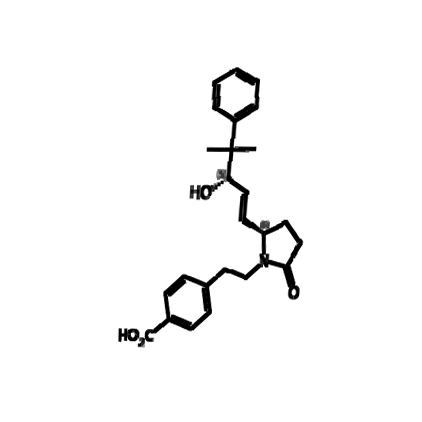 CC(C)(c1ccccc1)[C@@H](O)C=C[C@H]1CCC(=O)N1CCc1ccc(C(=O)O)cc1